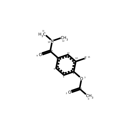 CC(=O)Oc1ccc(C(=O)N(C)C)cc1F